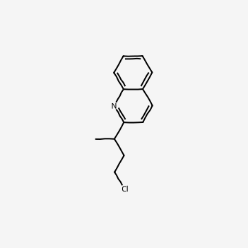 CC(CCCl)c1ccc2ccccc2n1